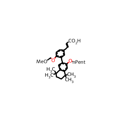 CCCCCOc1cc2c(cc1-c1cc(/C=C/C(=O)O)ccc1OCOC)C(C)(C)CCC2(C)C